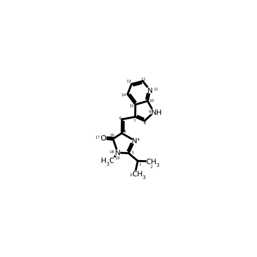 CC(C)C1=NC(=Cc2c[nH]c3ncccc23)C(=O)N1C